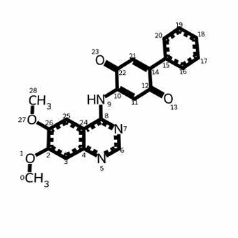 COc1cc2ncnc(NC3=CC(=O)C(c4ccccc4)=CC3=O)c2cc1OC